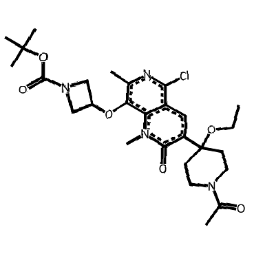 CCOC1(c2cc3c(Cl)nc(C)c(OC4CN(C(=O)OC(C)(C)C)C4)c3n(C)c2=O)CCN(C(C)=O)CC1